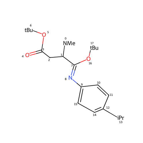 CNC(CC(=O)OC(C)(C)C)C(=Nc1ccc(C(C)C)cc1)OC(C)(C)C